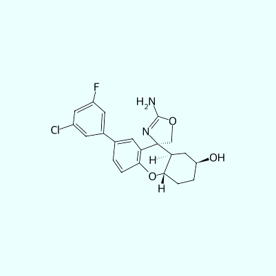 NC1=N[C@]2(CO1)c1cc(-c3cc(F)cc(Cl)c3)ccc1O[C@H]1CC[C@H](O)C[C@@H]12